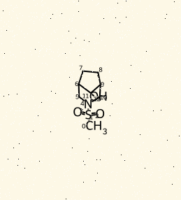 CS(=O)(=O)N1CC2CCC(C1)C2O